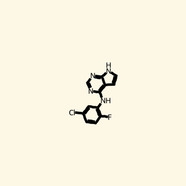 Fc1ccc(Cl)cc1Nc1ncnc2[nH]ccc12